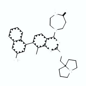 Cc1c(-c2cc(O)cc3ccccc23)ccc2c(N3CCNC(=O)CC3)nc(OCC34CCCN3CCC4)nc12